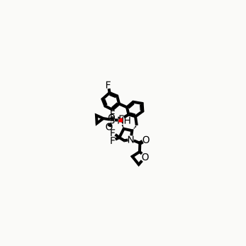 O=C(C1CCO1)N1CC(F)(F)[C@H](NS(=O)(=O)C2CC2)[C@@H]1Cc1cccc(-c2cc(F)ccc2F)c1F